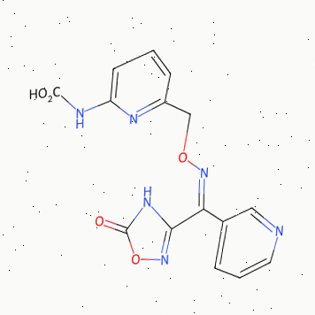 O=C(O)Nc1cccc(CON=C(c2cccnc2)c2noc(=O)[nH]2)n1